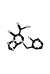 O=C(O)c1cn(Cc2ccccc2F)c2ncnn2c1=O